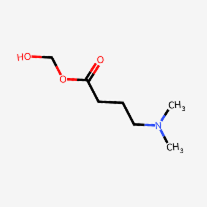 CN(C)CCCC(=O)OCO